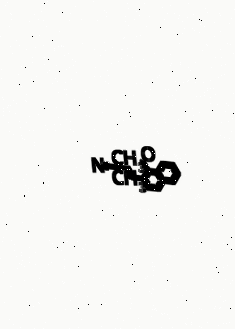 CC(C)(C#N)C=Cc1ccc2ccccc2c1C=O